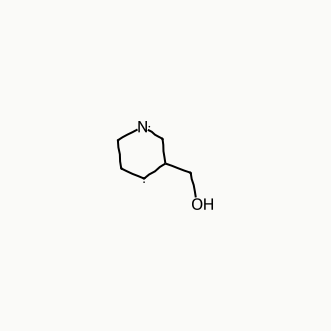 OCC1[CH]CC[N]C1